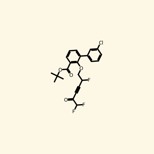 CC(C)(C)OC(=O)c1cccc(-c2cccc(Cl)c2)c1OCC(F)C#CC(=O)C(F)F